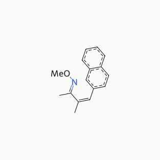 CON=C(C)C(C)=Cc1ccc2ccccc2c1